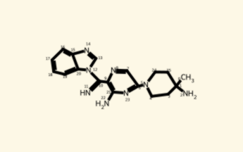 CC1(N)CCN(c2cnc(C(=N)n3cnc4ccccc43)c(N)n2)CC1